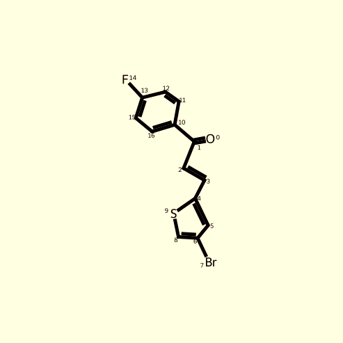 O=C(C=Cc1cc(Br)cs1)c1ccc(F)cc1